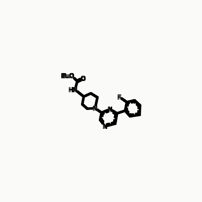 CC(C)COC(=O)NC1CCN(c2cncc(-c3ccccc3F)n2)CC1